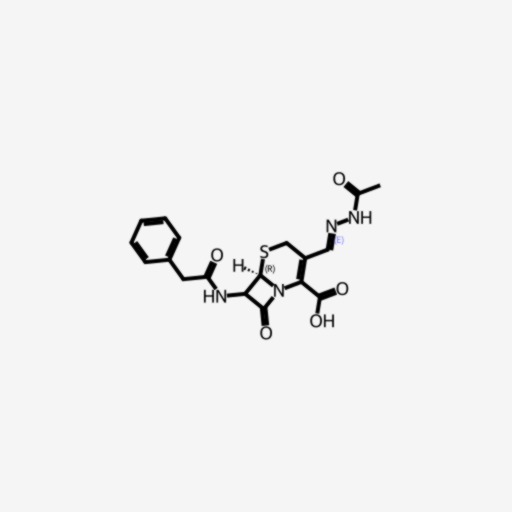 CC(=O)N/N=C/C1=C(C(=O)O)N2C(=O)C(NC(=O)Cc3ccccc3)[C@H]2SC1